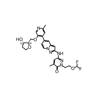 Cc1cc(-c2ccn3nc(Nc4cc(C)c(=O)n(CCOC(F)F)n4)cc3c2)c(OC[C@H]2OCC[C@@H]2O)cn1